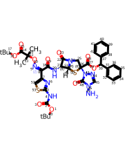 CC(C)(C)OC(=O)Nc1nc(/C(=N/OC(C)(C)C(=O)OC(C)(C)C)C(=O)N[C@@H]2C(=O)N3C[C@@](C(=O)OC(c4ccccc4)c4ccccc4)(n4ncn(N)c4=O)S[C@H]23)cs1